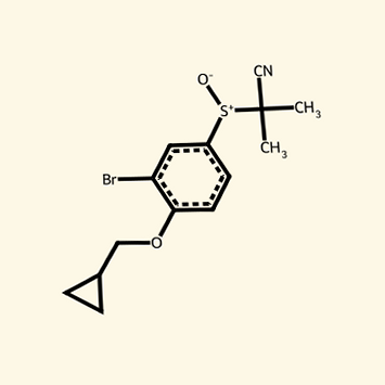 CC(C)(C#N)[S+]([O-])c1ccc(OCC2CC2)c(Br)c1